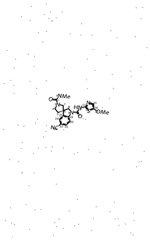 CNC(=O)N1CC[C@@]2(C1)CN(C(=O)Nc1ncc(OC)s1)c1ccc(C#N)cc12